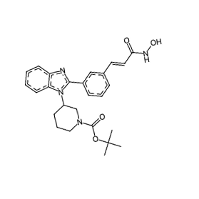 CC(C)(C)OC(=O)N1CCCC(n2c(-c3cccc(C=CC(=O)NO)c3)nc3ccccc32)C1